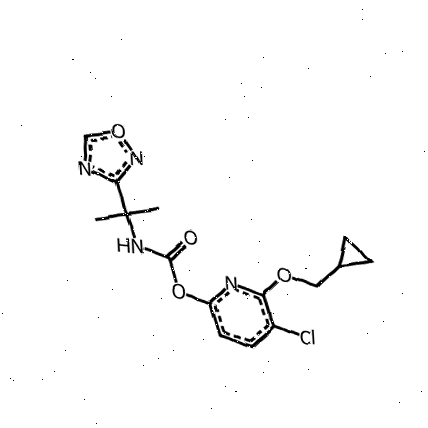 CC(C)(NC(=O)Oc1ccc(Cl)c(OCC2CC2)n1)c1ncon1